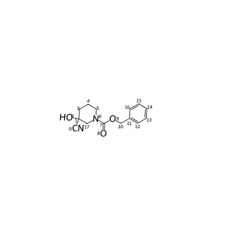 N#CC1(O)CCCN(C(=O)OCc2ccccc2)C1